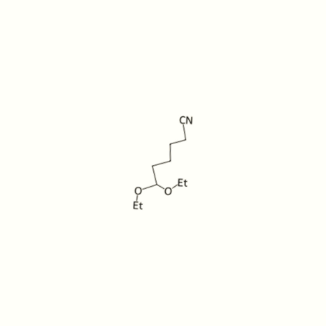 CCOC(CCCCC#N)OCC